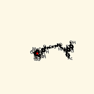 COc1cc(C(=O)NCCOCCOCCN(C)C(=O)CCNc2nc(N3CCN(C(C)=O)CC3)c3cc(Cl)c(C4=C(F)C=C[C@@H](CO)[C@@H]4C)c(F)c3n2)ccc1NC(=O)[C@@H]1N[C@@H](CC(C)(C)C)[C@](C#N)(c2ccc(Cl)cc2F)[C@H]1c1cccc(Cl)c1F